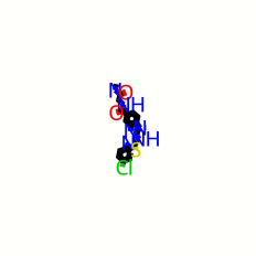 CN(C)C(=O)CNC(=O)c1ccc2c(c1)nc(Nc1nc3ccc(Cl)cc3s1)n2C